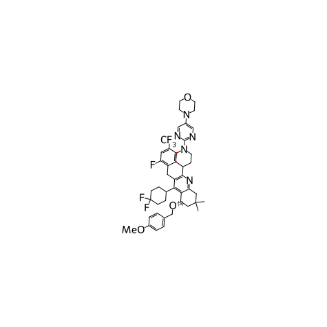 COc1ccc(CO[C@H]2CC(C)(C)Cc3nc(C4CCN(c5ncc(N6CCOCC6)cn5)CC4)c(Cc4ccc(C(F)(F)F)cc4F)c(C4CCC(F)(F)CC4)c32)cc1